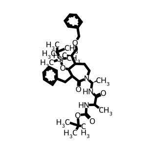 CC(NC(=O)OC(C)(C)C)C(=O)N[C@@H](C)N1CCC([C@@H](C)COCc2ccccc2)C(O[Si](C)(C)C(C)(C)C)C(Cc2ccccc2)C1=O